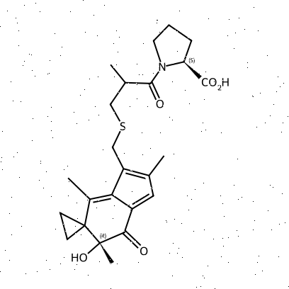 CC1=C(CSCC(C)C(=O)N2CCC[C@H]2C(=O)O)C2=C(C)C3(CC3)[C@@](C)(O)C(=O)C2=C1